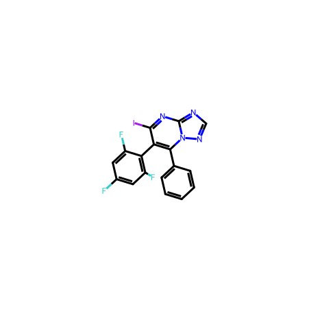 Fc1cc(F)c(-c2c(I)nc3ncnn3c2-c2ccccc2)c(F)c1